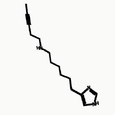 CC#CCCNCCCCCCc1c[nH]cn1